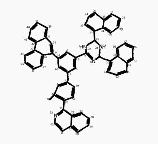 Cc1cc(-c2cc(C3=NC(c4cccc5ccccc45)NC(c4cccc5ccccc45)N3)cc(-c3cc4ccccc4c4ccccc34)c2)ccc1-c1nccc2ccccc12